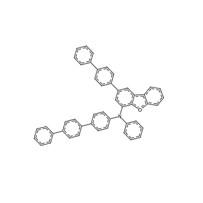 c1ccc(-c2ccc(-c3ccc(N(c4ccccc4)c4cc(-c5ccc(-c6ccccc6)cc5)cc5c4oc4ccccc45)cc3)cc2)cc1